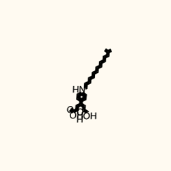 CC(C)CCCCCCCCCCCCCNc1ccc(C(CCC(=O)O)CC(O)CO)cc1